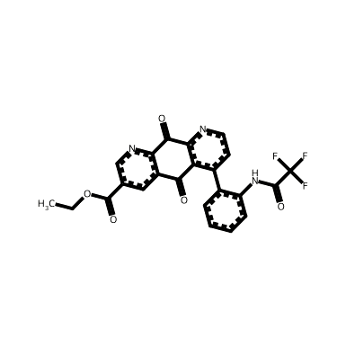 CCOC(=O)c1cnc2c(c1)C(=O)c1c(-c3ccccc3NC(=O)C(F)(F)F)ccnc1C2=O